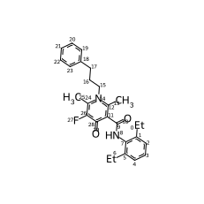 CCc1cccc(CC)c1NC(=O)c1c(C)n(CCCc2ccccc2)c(C)c(F)c1=O